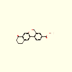 O=C(OC(F)(F)F)c1ccc2c(c1)COc1cc3c(cc1-2)CCCC3=O